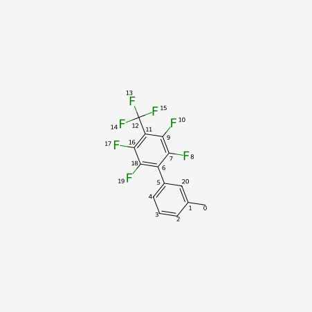 Cc1cccc(-c2c(F)c(F)c(C(F)(F)F)c(F)c2F)c1